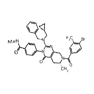 CNC(=O)c1ccc(-n2c(N(Cc3ccccc3)CC3CC3)nc3c(c2=O)C[C@@H](C)N(C(=O)c2ccc(Br)c(C(F)(F)F)c2)C3)cc1